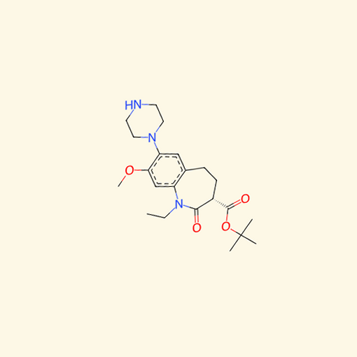 CCN1C(=O)[C@@H](C(=O)OC(C)(C)C)CCc2cc(N3CCNCC3)c(OC)cc21